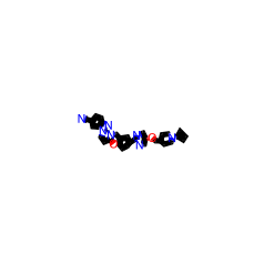 N#Cc1ccc2nc3n(Cc4cccc(-c5ncc(OCC6CCN(C7CCC7)CC6)cn5)c4)c(=O)ccn3c2c1